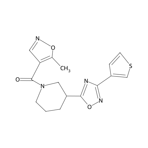 Cc1oncc1C(=O)N1CCCC(c2nc(-c3ccsc3)no2)C1